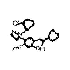 CC(Cc1cc(-c2ccnn2-c2ccccc2Cl)c(O)cc1O)c1ccccc1